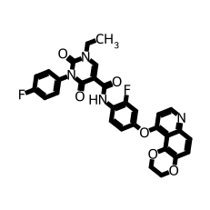 CCn1cc(C(=O)Nc2ccc(Oc3ccnc4ccc5c(c34)OCCO5)cc2F)c(=O)n(-c2ccc(F)cc2)c1=O